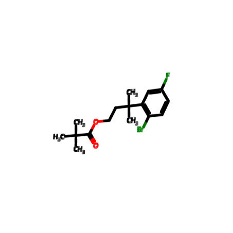 CC(C)(C)C(=O)OCCC(C)(C)c1cc(F)ccc1Br